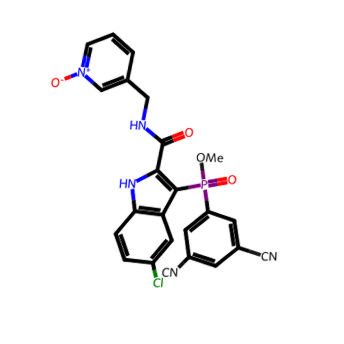 [C-]#[N+]c1cc(C#N)cc(P(=O)(OC)c2c(C(=O)NCc3ccc[n+]([O-])c3)[nH]c3ccc(Cl)cc23)c1